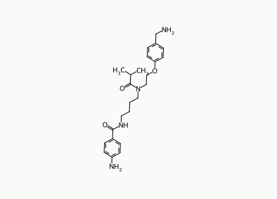 CC(C)C(=O)N(CCCCNC(=O)c1ccc(N)cc1)CCOc1ccc(CN)cc1